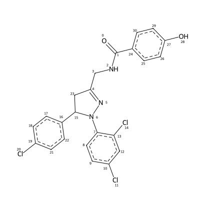 O=C(NCC1=NN(c2ccc(Cl)cc2Cl)C(c2ccc(Cl)cc2)C1)c1ccc(O)cc1